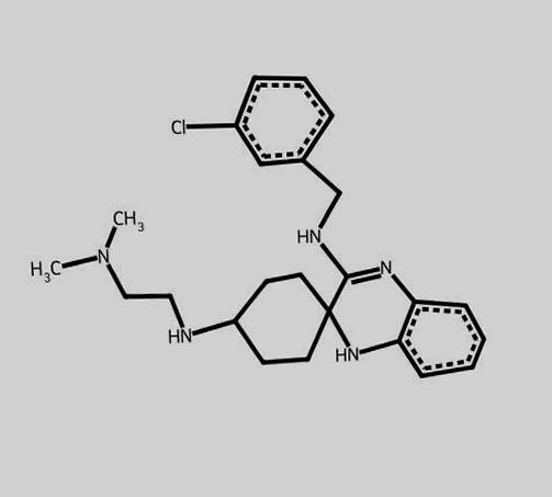 CN(C)CCNC1CCC2(CC1)Nc1ccccc1N=C2NCc1cccc(Cl)c1